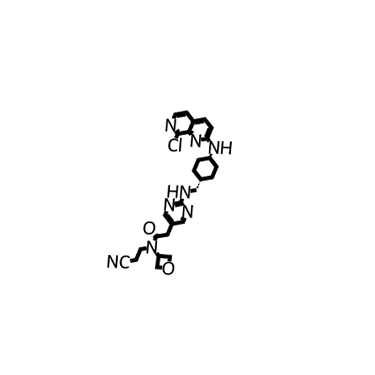 N#CCCN(C(=O)Cc1cnc(NC[C@H]2CC[C@H](Nc3ccc4ccnc(Cl)c4n3)CC2)nc1)C1COC1